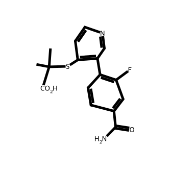 CC(C)(Sc1ccncc1-c1ccc(C(N)=O)cc1F)C(=O)O